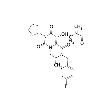 CC1Cn2c(c(O)c(=O)n(C3CCCC3)c2=O)C(=O)N1Cc1ccc(F)cc1.CN(C)C=O